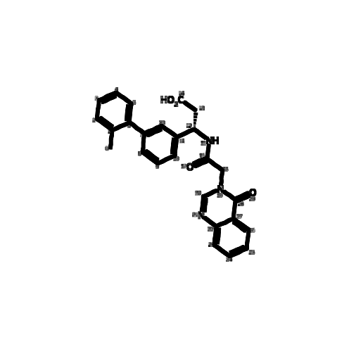 Cc1ccccc1-c1cccc([C@H](CC(=O)O)NC(=O)Cn2cnc3ccccc3c2=O)c1